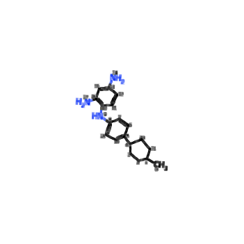 CC1CCC(c2ccc(Nc3ccc(N)cc3N)cc2)CC1